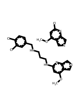 COc1cc(Cl)nc2cscc12.COc1cc(NCCCNCc2ccc(Cl)c(Cl)c2)nc2cscc12